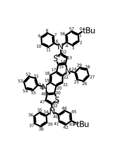 CC(C)(C)c1ccc(N(c2ccccc2)c2cc3c(s2)c2cc4c(cc2n3-c2ccccc2)c2sc(N(c3ccccc3)c3ccc(C(C)(C)C)cc3)cc2n4-c2ccccc2)cc1